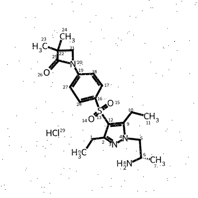 CCc1nn(C[C@H](C)N)c(CC)c1S(=O)(=O)c1ccc(N2CC(C)(C)C2=O)cc1.Cl